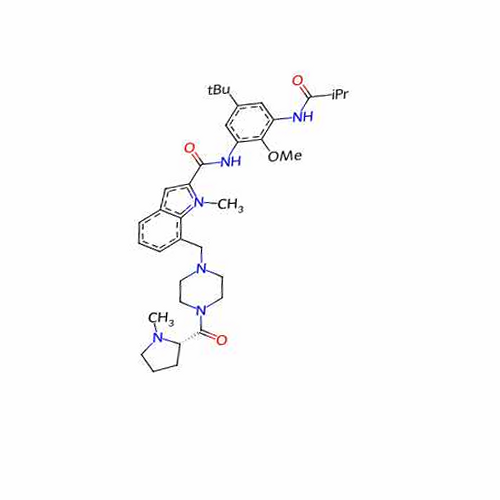 COc1c(NC(=O)c2cc3cccc(CN4CCN(C(=O)[C@@H]5CCCN5C)CC4)c3n2C)cc(C(C)(C)C)cc1NC(=O)C(C)C